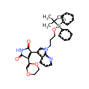 CC(C)(C)[Si](OCCCn1cc(C2=C(C3=COCCO3)C(=O)NC2=O)c2cccnc21)(c1ccccc1)c1ccccc1